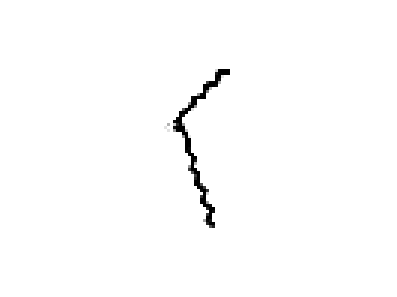 C=C/C=C/C/C=C/CC1OC1CCCCCCCCCCC